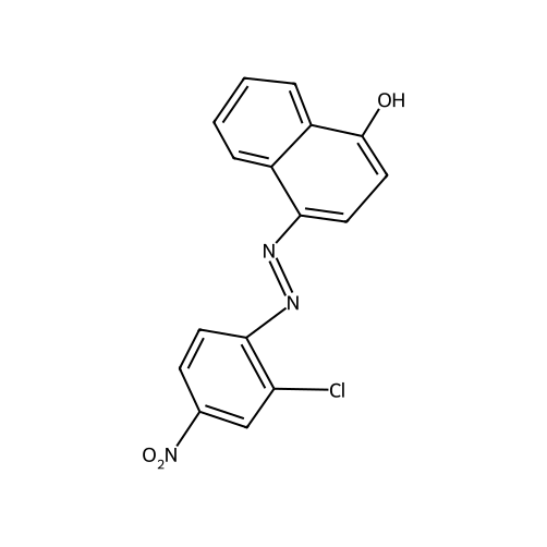 O=[N+]([O-])c1ccc(/N=N/c2ccc(O)c3ccccc23)c(Cl)c1